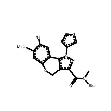 [2H]c1cc2c(cc1OC)OCc1c(C(=O)N(C)C(C)(C)C)nn(-c3ccsc3)c1-2